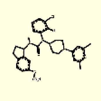 Cc1cc(N2CCC(N(C(=O)N(C)C3CCc4ccc(OC(=O)O)cc43)c3cccc(Cl)c3Cl)CC2)cc(C)n1